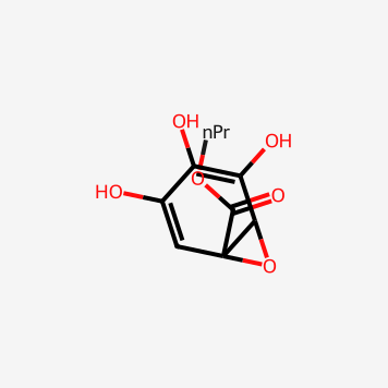 CCCOC(=O)C12C=C(O)C(O)=C(O)C1O2